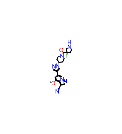 COc1cc(-c2cnn(C3CCN(C(=O)C4(F)CCNC4)CC3)c2)cn2ncc(C#N)c12